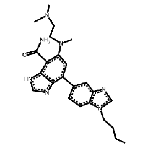 CCCCn1cnc2cc(-c3cc(N(C)CCN(C)C)c(C(N)=O)c4[nH]cnc34)ccc21